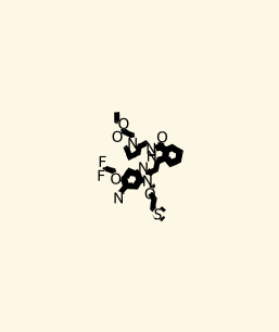 CCOC(=O)CN1CCCC1Cn1nc(Cc2nc3cc(OCC(F)F)c(C#N)cc3n2COCCS(C)(C)C)c2ccccc2c1=O